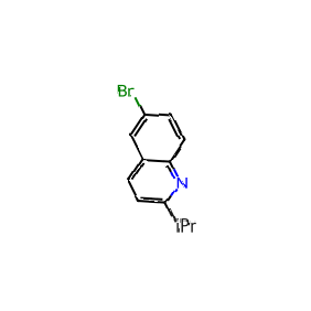 CC(C)c1ccc2cc(Br)ccc2n1